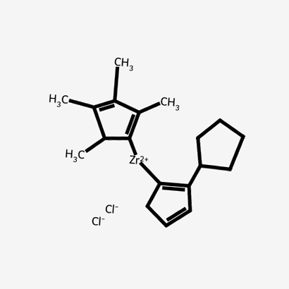 CC1=C(C)C(C)[C]([Zr+2][C]2=C(C3CCCC3)C=CC2)=C1C.[Cl-].[Cl-]